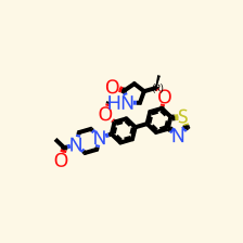 COc1cc(-c2cc(O[C@H](C)C3CNC(=O)C3)c3scnc3c2)ccc1N1CCN(C(C)=O)CC1